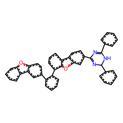 c1ccc(C2=NC(c3ccc4c(c3)oc3c(-c5ccccc5-c5ccc6oc7ccccc7c6c5)cccc34)=NC(c3ccccc3)N2)cc1